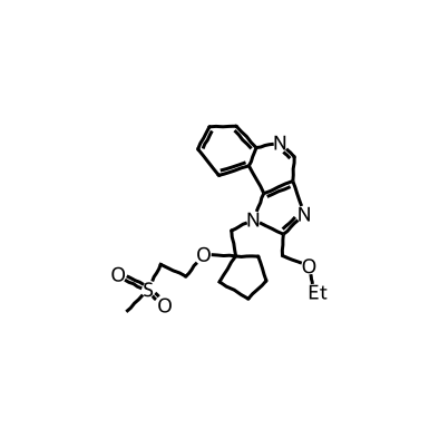 CCOCc1nc2cnc3ccccc3c2n1CC1(OCCS(C)(=O)=O)CCCC1